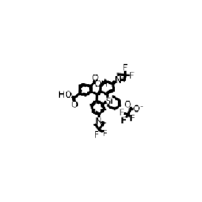 O=C(O)c1ccc(C(=O)O)c(C2=C3C=CC(=[N+]4CC(F)(F)C4)C=C3[Si]3(CCCCC3)c3cc(N4CC(F)(F)C4)ccc32)c1.O=C([O-])C(F)(F)F